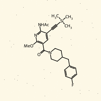 COc1nc(NC(C)=O)c(C#C[Si](C)(C)C)cc1C(=O)N1CCC(Cc2ccc(F)cc2)CC1